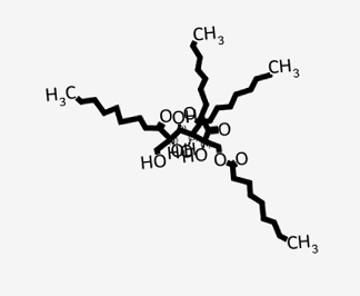 CCCCCCCCC(=O)OC[C@](O)(C(=O)CCCCCCCC)[C@](O)(C(=O)CCCCCCCC)[C@H](O)[C@@](O)(CO)C(=O)CCCCCCCC